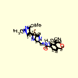 COc1nn(C)cc1-c1nc2cc(CNC(=O)c3ccc4c(c3)[C@](C)(C#N)COC4)ncc2s1